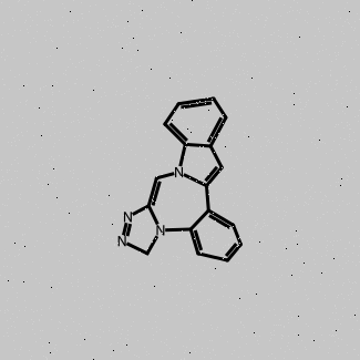 C1=C2N=NCN2c2ccccc2-c2cc3ccccc3n21